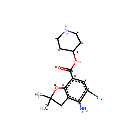 CC1(C)Cc2c(N)c(Cl)cc(C(=O)OC3CCNCC3)c2O1